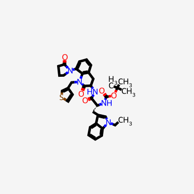 CCn1cc(C[C@@H](NC(=O)OC(C)(C)C)C(=O)NC2Cc3cccc(N4CCCC4=O)c3N(Cc3ccsc3)C2=O)c2ccccc21